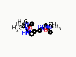 C=CCCN(Cc1nc2c([nH]1)CCCc1cc(-c3ccc4nc([C@@H]5CCCN5C(=O)[C@@H](c5ccccc5)N(CC)CC)[nH]c4c3)ccc1-2)C(=O)[C@@H](c1ccccc1)N(CC)CC